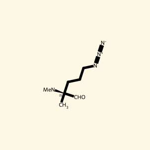 CN[C@](C)(C=O)CCCN=[N+]=[N-]